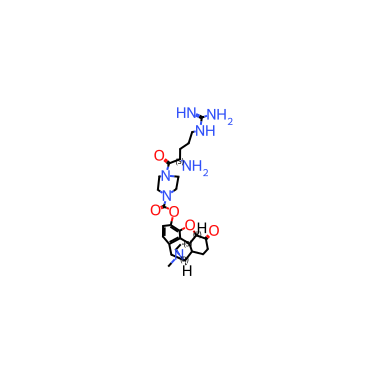 CN1CC[C@]23c4c5ccc(OC(=O)N6CCN(C(=O)[C@@H](N)CCCNC(=N)N)CC6)c4O[C@H]2C(=O)CCC3[C@H]1C5